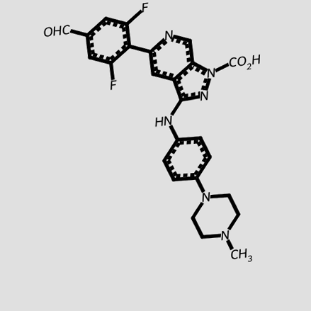 CN1CCN(c2ccc(Nc3nn(C(=O)O)c4cnc(-c5c(F)cc(C=O)cc5F)cc34)cc2)CC1